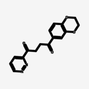 O=C(CCC(=O)c1cccnn1)c1ccc2c(c1)OCCO2